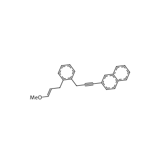 COC=CCc1ccccc1CC#Cc1ccc2ccccc2c1